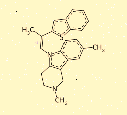 C/C(=C/n1c2c(c3cc(C)ccc31)CN(C)CC2)c1cc2ccccc2s1